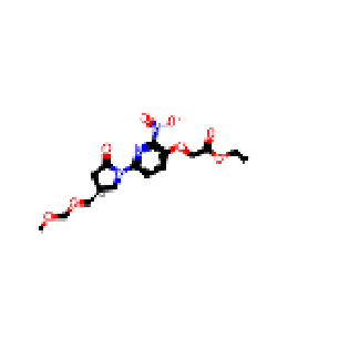 CCOC(=O)COc1ccc(N2C[C@@H](COCOC)CC2=O)nc1[N+](=O)[O-]